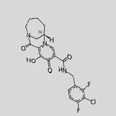 O=C(NCc1ccc(F)c(Cl)c1F)c1cn2c(c(O)c1=O)C(=O)N1CCCC[C@H]2C1